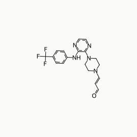 O=CC=CN1CCN(c2nccnc2Nc2ccc(C(F)(F)F)cc2)CC1